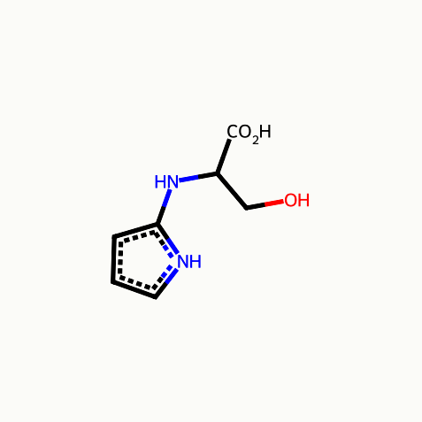 O=C(O)C(CO)Nc1ccc[nH]1